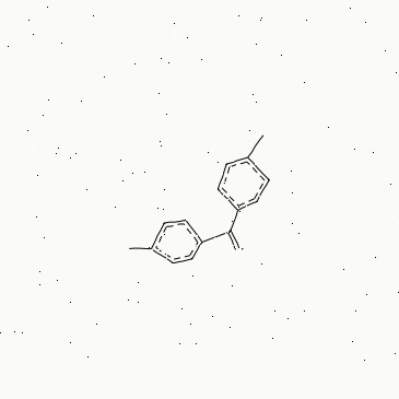 [CH]=C(c1ccc(C)cc1)c1ccc(C)cc1